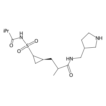 CC(C)C(=O)NS(=O)(=O)C1C[C@@H]1CC(C)C(=O)NCC1CCNC1